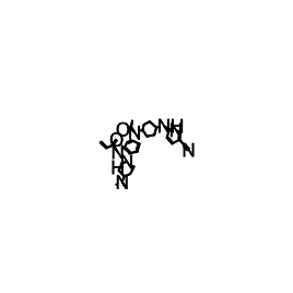 C=CC(=O)Nc1cc(N(C(C)=O)C2CCC(Nc3ccc(C#N)cn3)CC2)ccc1N1CCC(N(C)C)CC1